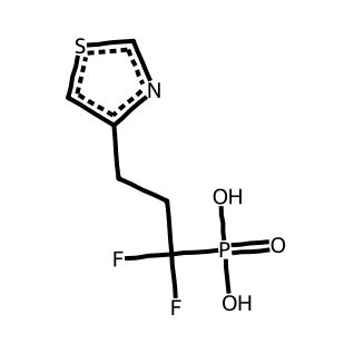 O=P(O)(O)C(F)(F)CCc1cscn1